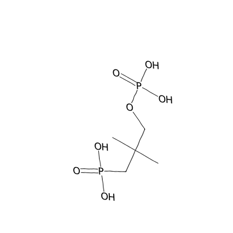 CC(C)(COP(=O)(O)O)CP(=O)(O)O